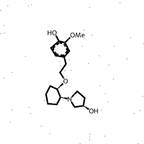 COc1cc(CCO[C@@H]2CCCC[C@@H]2N2CC[C@@H](O)C2)ccc1O